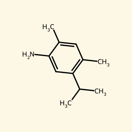 Cc1cc(C)c(C(C)C)cc1N